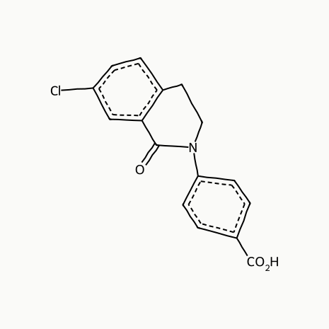 O=C(O)c1ccc(N2CCc3ccc(Cl)cc3C2=O)cc1